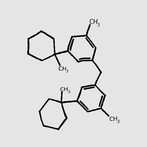 Cc1cc(Cc2[c]c(C3(C)CCCCC3)cc(C)c2)[c]c(C2(C)CCCCC2)c1